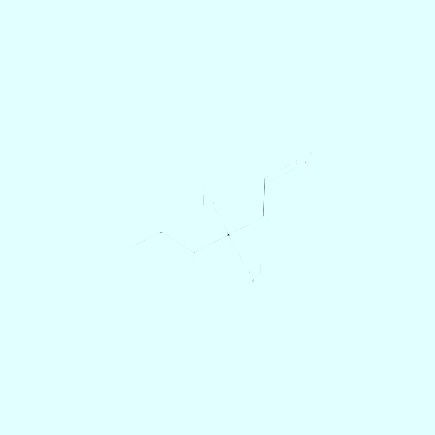 CCCC(S)(S)CC=O